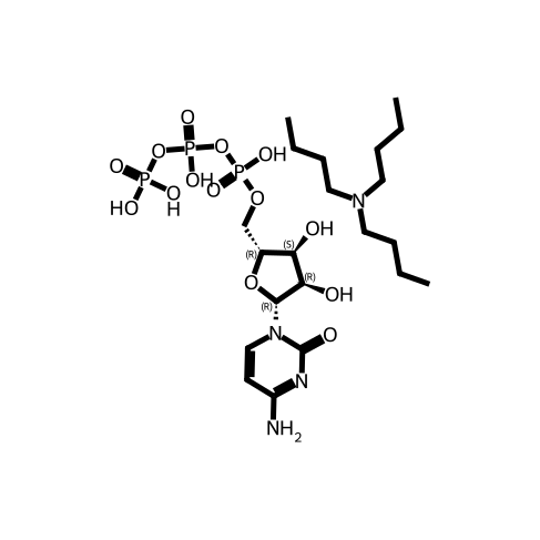 CCCCN(CCCC)CCCC.Nc1ccn([C@@H]2O[C@H](COP(=O)(O)OP(=O)(O)OP(=O)(O)O)[C@@H](O)[C@H]2O)c(=O)n1